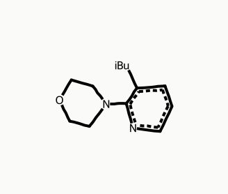 CCC(C)c1cccnc1N1CCOCC1